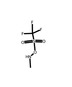 CNOS(=O)(=O)C(F)(F)F